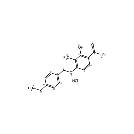 CCCC(=O)c1ccc(OCc2ccc(CN)cc2)c(C(F)(F)F)c1O.Cl